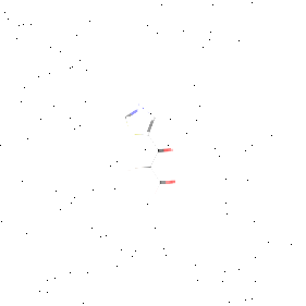 O=C(O)C(Br)C(=O)c1cncs1